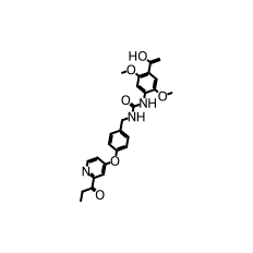 C=C(O)c1cc(OC)c(NC(=O)NCc2ccc(Oc3ccnc(C(=O)CC)c3)cc2)cc1OC